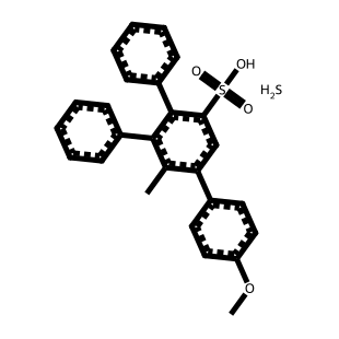 COc1ccc(-c2cc(S(=O)(=O)O)c(-c3ccccc3)c(-c3ccccc3)c2C)cc1.S